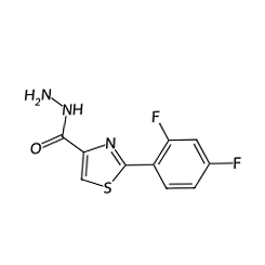 NNC(=O)c1csc(-c2ccc(F)cc2F)n1